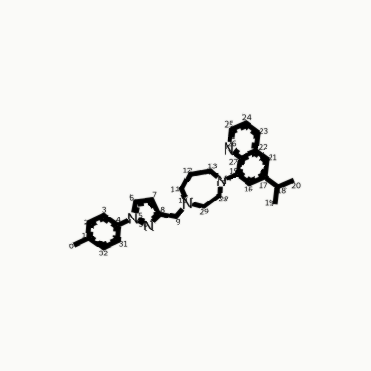 Cc1ccc(-n2ccc(CN3CCCN(c4cc(C(C)C)cc5cccnc45)CC3)n2)cc1